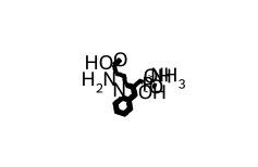 N.NC(Cc1nc2ccccc2cc1CP(=O)(O)O)C(=O)O